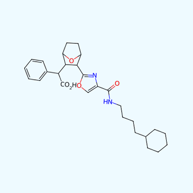 O=C(NCCCCC1CCCCC1)c1coc(C2C3CCC(O3)C2C(C(=O)O)c2ccccc2)n1